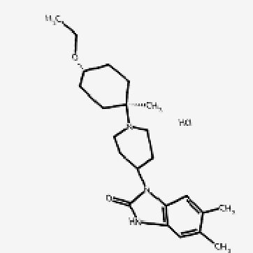 CCO[C@H]1CC[C@](C)(N2CCC(n3c(=O)[nH]c4cc(C)c(C)cc43)CC2)CC1.Cl